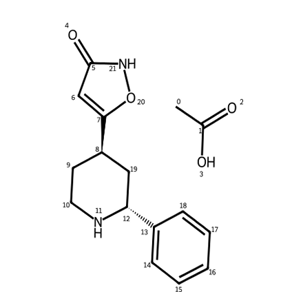 CC(=O)O.O=c1cc([C@@H]2CCN[C@@H](c3ccccc3)C2)o[nH]1